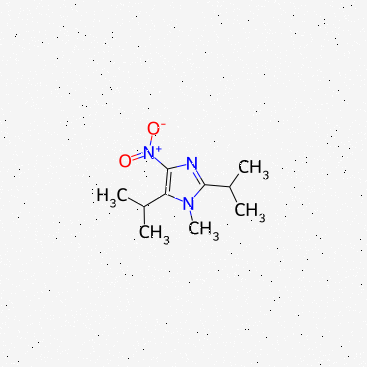 CC(C)c1nc([N+](=O)[O-])c(C(C)C)n1C